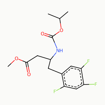 COC(=O)CC(Cc1cc(F)c(F)cc1F)NC(=O)OC(C)C